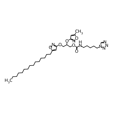 CCCCCCCCCCCCCCCc1cc(OCC(COC(=O)NCCCCCn2cnnn2)Oc2cc(C)on2)no1